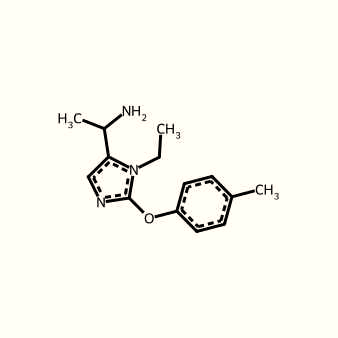 CCn1c(C(C)N)cnc1Oc1ccc(C)cc1